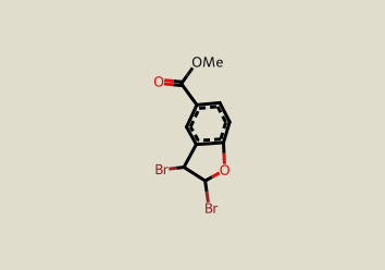 COC(=O)c1ccc2c(c1)C(Br)C(Br)O2